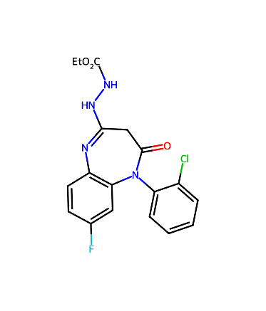 CCOC(=O)NNC1=Nc2ccc(F)cc2N(c2ccccc2Cl)C(=O)C1